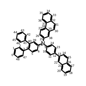 c1ccc(-c2ccc(N(c3ccc(-c4ccc5ccccc5c4)cc3)c3ccc4c(ccc5ccccc54)c3)cc2-c2ccccc2)cc1